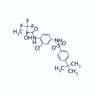 CC(C)(C)c1ccc(S(=O)(=O)Nc2ccc(NC(=O)[C@@](C)(O)C(F)(F)F)c(Cl)c2)cc1